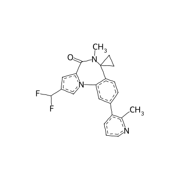 Cc1ncccc1-c1ccc2c(c1)-n1cc(C(F)F)cc1C(=O)N(C)C21CC1